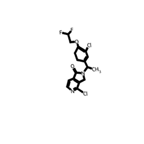 CC(C1=CC(Cl)=C(OCC(F)F)CC1)N1Cc2c(ccnc2Cl)C1=O